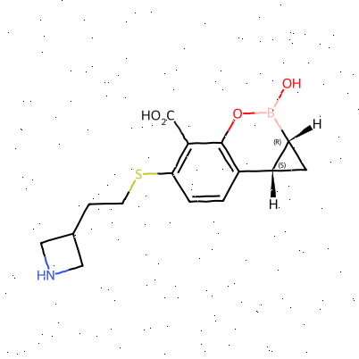 O=C(O)c1c(SCCC2CNC2)ccc2c1OB(O)[C@@H]1C[C@H]21